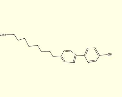 CCCCCCCCCCCCCCCCCCc1ccc(-c2ccc(O)cc2)cc1